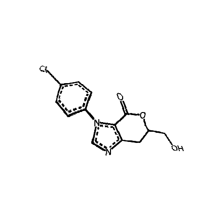 O=C1OC(CO)Cc2ncn(-c3ccc(Cl)cc3)c21